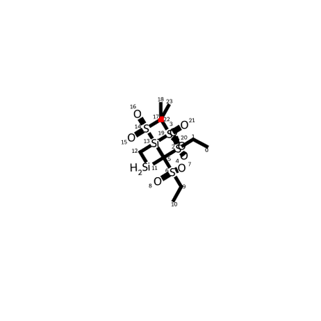 CCS(=O)(=O)C1(S(=O)(=O)CC)[SiH2]C[Si]1(S(=O)(=O)CC)S(=O)(=O)CC